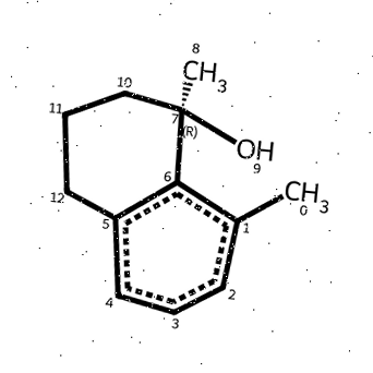 Cc1cccc2c1[C@](C)(O)CCC2